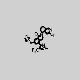 CCc1cc2c(cn1)CCC[C@@H]2N1CCc2c(cc(Cn3ccnc3)cc2-c2nn(C)cc2C(F)(F)F)C1=O